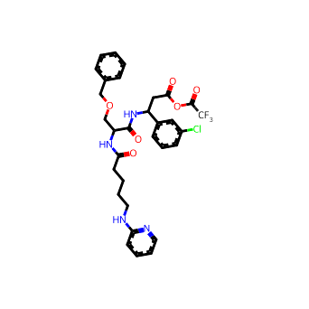 O=C(CCCCNc1ccccn1)NC(COCc1ccccc1)C(=O)NC(CC(=O)OC(=O)C(F)(F)F)c1cccc(Cl)c1